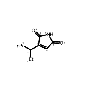 CCCC(CC)C1=CC(=O)NC1=O